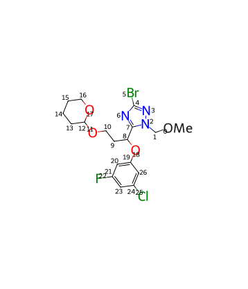 COCn1nc(Br)nc1C(CCOC1CCCCO1)Oc1cc(F)cc(Cl)c1